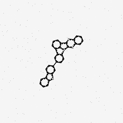 c1ccc2nc3c(nc2c1)c1cccc2c4cc(-c5ccc6c(c5)sc5ccccc56)ccc4n3c21